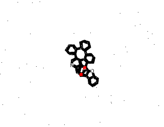 c1ccc2c(c1)-c1ccccc1-c1cnc3cccnc3c1-c1c-2cccc1-c1cccc2c1oc1ccccc12